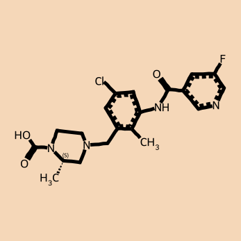 Cc1c(CN2CCN(C(=O)O)[C@@H](C)C2)cc(Cl)cc1NC(=O)c1cncc(F)c1